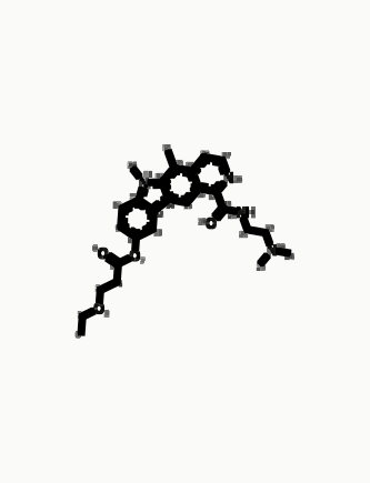 CCOCCC(=O)Oc1ccc2c(c1)c1cc3c(C(=O)NCCN(C)C)nccc3c(C)c1n2C